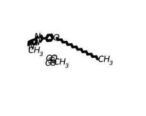 CCCCCCCCCCCCCCCCCCOc1ccc(C2=CN=c3c4cc[n+](C)c(c4)n3C2)cc1.COS(=O)(=O)[O-]